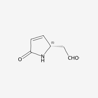 O=[C]C[C@H]1C=CC(=O)N1